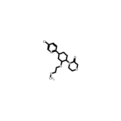 COCCOC1CC(c2ccc(Cl)cn2)C[CH]C1N1CCOCC1=O